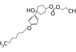 CCCCCCCOc1ccc(C2(O)CCC(OC(=O)OCCC)CC2)cc1